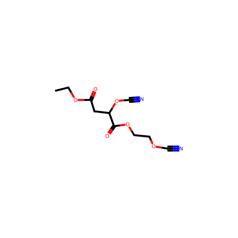 CCOC(=O)CC(OC#N)C(=O)OCCOC#N